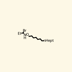 CCCCCCCCCCCCCCONC(Br)CC